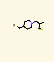 CC(C=S)CN1CCC(CBr)CC1